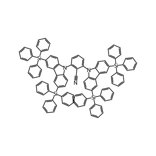 N#Cc1c(-n2c3ccc([Si](c4ccccc4)(c4ccccc4)c4ccccc4)cc3c3cc([Si](c4ccccc4)(c4ccccc4)c4ccccc4)ccc32)cccc1-n1c2ccc([Si](c3ccccc3)(c3ccccc3)c3ccccc3)cc2c2cc([Si](c3ccccc3)(c3ccccc3)c3ccccc3)ccc21